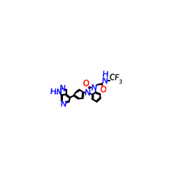 O=C(Cn1c(=O)n(-c2ccc(-c3cncc4[nH]ncc34)cc2)c2ccccc21)NCC(F)(F)F